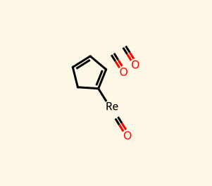 C=O.C=O.C=O.[Re][C]1=CC=CC1